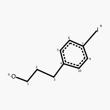 [O]CCCc1ccc(I)cc1